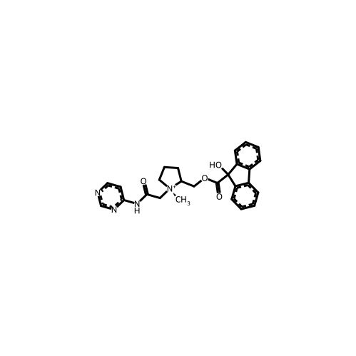 C[N@+]1(CC(=O)Nc2ccncn2)CCCC1COC(=O)C1(O)c2ccccc2-c2ccccc21